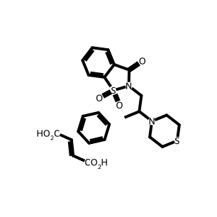 CC(CN1C(=O)c2ccccc2S1(=O)=O)N1CCSCC1.O=C(O)C=CC(=O)O.c1ccccc1